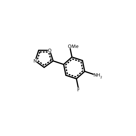 COc1cc(N)c(F)cc1-c1cnco1